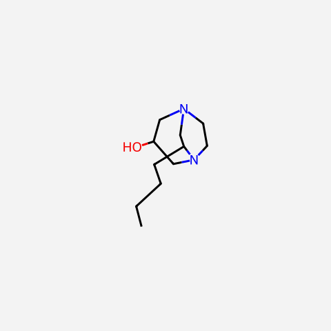 CCCCC1CN2CCN1CC(O)C2